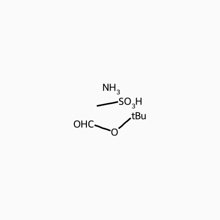 CC(C)(C)OC=O.CS(=O)(=O)O.N